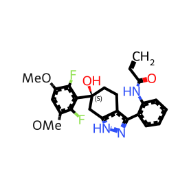 C=CC(=O)Nc1ccccc1-c1n[nH]c2c1CC[C@@](O)(c1c(F)c(OC)cc(OC)c1F)C2